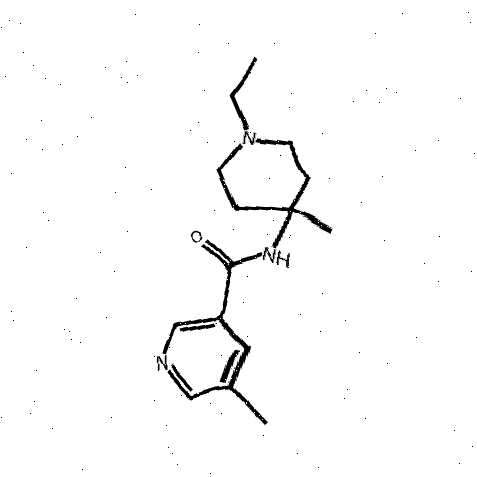 CCN1CCC(C)(NC(=O)c2cncc(C)c2)CC1